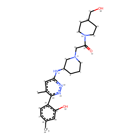 Cc1cc(N[C@@H]2CCCN(CC(=O)N3CCC(CO)CC3)C2)nnc1-c1ccc(C(F)(F)F)cc1O